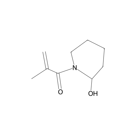 C=C(C)C(=O)N1CCCCC1O